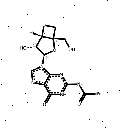 CC(C)C(=O)Nc1nc2c(ncn2[C@@H]2O[C@@]3(CO)CO[C@H]3[C@H]2O)c(=O)[nH]1